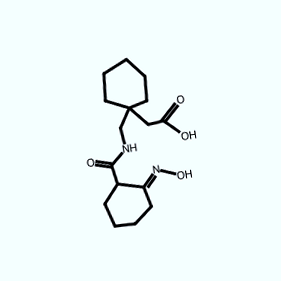 O=C(O)CC1(CNC(=O)C2CCCCC2=NO)CCCCC1